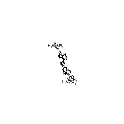 CC(C)(C)OC(=O)N1CCN(CC(CC#N)n2ccc(-c3ncnc4c3ccn4COCC[Si](C)(C)C)c2)CC1